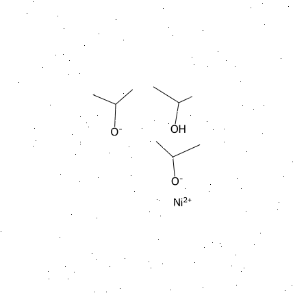 CC(C)O.CC(C)[O-].CC(C)[O-].[Ni+2]